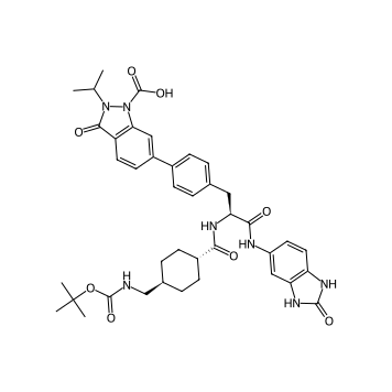 CC(C)n1c(=O)c2ccc(-c3ccc(C[C@H](NC(=O)[C@H]4CC[C@H](CNC(=O)OC(C)(C)C)CC4)C(=O)Nc4ccc5[nH]c(=O)[nH]c5c4)cc3)cc2n1C(=O)O